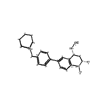 CC[C@H]1C[C@@H](NC=O)c2cc(-c3ccc(CN4CCCCC4)cc3)ccc2N1C(C)=O